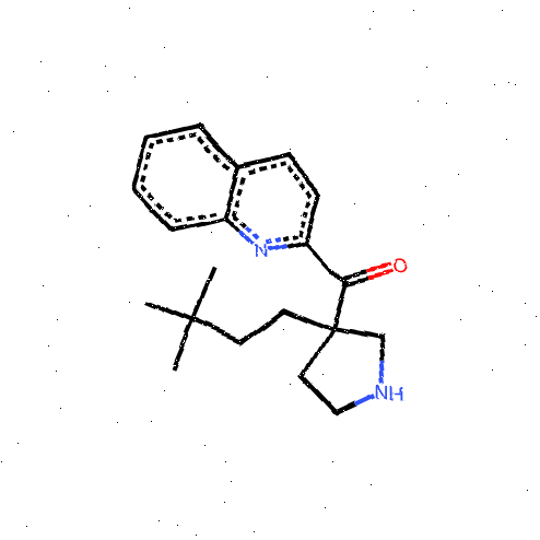 CC(C)(C)CCC1(C(=O)c2ccc3ccccc3n2)CCNC1